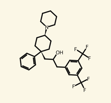 OC(Cc1cc(C(F)(F)F)cc(C(F)(F)F)c1)C[C@]1(c2ccccc2)CC[C@H](N2CCCCC2)CC1